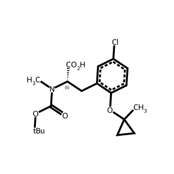 CN(C(=O)OC(C)(C)C)[C@@H](Cc1cc(Cl)ccc1OC1(C)CC1)C(=O)O